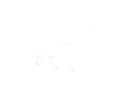 CN1CCCC1c1nc(O)c(O)c(C(=O)NCc2ccc(F)cc2)n1